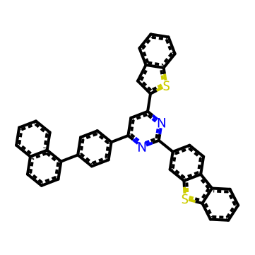 c1ccc2sc(-c3cc(-c4ccc(-c5cccc6ccccc56)cc4)nc(-c4ccc5c(c4)sc4ccccc45)n3)cc2c1